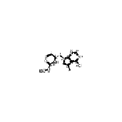 C=C[C@H](Cn1cc(C)c2c(Cl)ncnc21)NC(=O)OC(C)(C)C